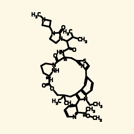 CCn1c(-c2cccnc2[C@H](C)OC)c2c3cc(ccc31)-c1csc(n1)C[C@H](NC(=O)C(C(C)C)N1CCN(C3CN(C)C3)C1=O)C(=O)N1CCC[C@H](N1)C(=O)OCC(C)(C)C2